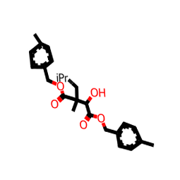 Cc1ccc(COC(=O)C(O)C(C)(CC(C)C)C(=O)OCc2ccc(C)cc2)cc1